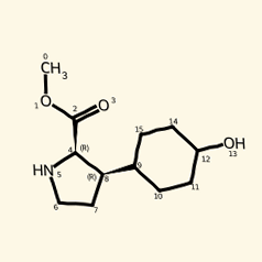 COC(=O)[C@@H]1NCC[C@@H]1C1CCC(O)CC1